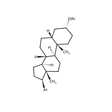 CC(=O)O[C@@H]1CC[C@@]2(C)[C@H](CC[C@@H]3[C@@H]2CC[C@]2(C)[C@@H](C(C)=O)CC[C@@H]32)C1